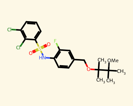 COC(C)(C)C(C)(C)OCc1ccc(NS(=O)(=O)c2cccc(Cl)c2Cl)c(F)c1